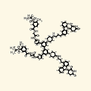 Cc1ccc(C(=O)NCC(=O)Nc2nc(-c3cc(-c4cc(-c5csc(NC(=O)CNC(=O)c6ccc(C)c(S(=O)(=O)C(C)C)c6)n5)cc(N5CCC(NCCCc6cccc7c6c6cccnc6n7C6CCC(=O)NC6=O)CC5)c4)cc(N4CCC(NCCCc5ccc6c(c5)c5cccnc5n6C5CCC(=O)NC5=O)CC4)c3)cs2)cc1S(=O)(=O)C(C)C